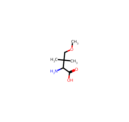 COCC(C)(C)C(N)C(=O)O